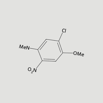 CNc1cc(Cl)c(OC)cc1[N+](=O)[O-]